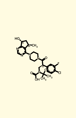 C[C@@H]1C[C@H](O)c2ncnc(N3CCN(C(=O)[C@H](CN(C(=O)O)C(C)(C)C)c4ccc(Cl)c(F)c4)CC3)c21